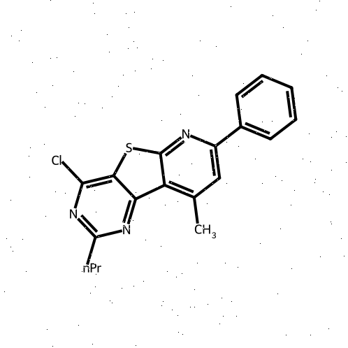 CCCc1nc(Cl)c2sc3nc(-c4ccccc4)cc(C)c3c2n1